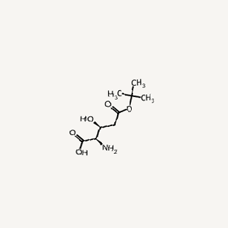 CC(C)(C)OC(=O)C[C@H](O)[C@@H](N)C(=O)O